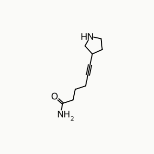 NC(=O)CCCC#CC1CCNC1